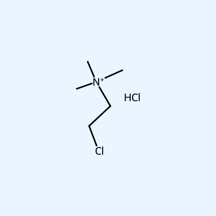 C[N+](C)(C)CCCl.Cl